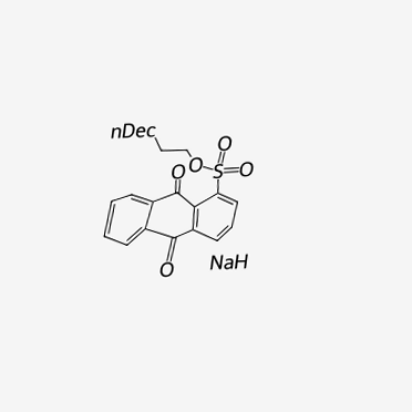 CCCCCCCCCCCCOS(=O)(=O)c1cccc2c1C(=O)c1ccccc1C2=O.[NaH]